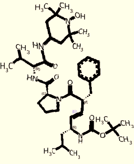 CC(C)C[C@H](/C=C/[C@@H](Cc1ccccc1)C(=O)N1CCC[C@H]1C(=O)N[C@@H](C(=O)NC1CC(C)(C)N(O)C(C)(C)C1)C(C)C)NC(=O)OC(C)(C)C